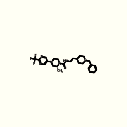 C[C@@H]1CN(c2cnc(C(F)(F)F)nc2)CCN1C(=O)NCCC1CCN(Cc2ccccc2)CC1